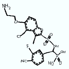 Cc1c(S(=O)(=O)NC(c2ccc(C#N)c(F)c2)P(=O)(O)O)sc2ccc(OCCN)c(Cl)c12